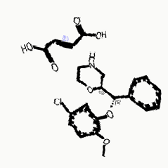 COc1ccc(Cl)cc1O[C@@H](c1ccccc1)[C@@H]1CNCCO1.O=C(O)/C=C/C(=O)O